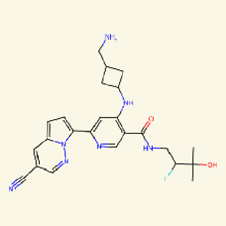 CC(C)(O)C(F)CNC(=O)c1cnc(-c2ccc3cc(C#N)cnn23)cc1NC1CC(CN)C1